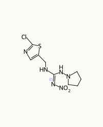 O=[N+]([O-])/N=C(/NCc1cnc(Cl)s1)NN1CCCC1